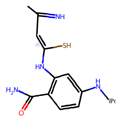 CC(=N)/C=C(\S)Nc1cc(NC(C)C)ccc1C(N)=O